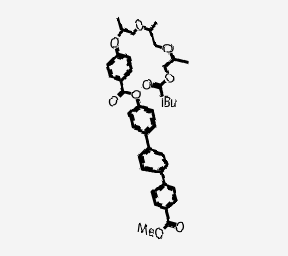 CCC(C)C(=O)OCC(C)OCC(C)OCC(C)Oc1ccc(C(=O)Oc2ccc(-c3ccc(-c4ccc(C(=O)OC)cc4)cc3)cc2)cc1